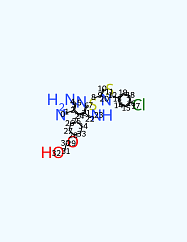 N#Cc1c(N)nc(SCc2csc(-c3ccc(Cl)cc3)n2)c(C=N)c1[C@H]1CC[C@H](OCCO)CC1